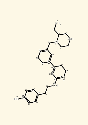 NCC1CNCCN1CC1=CCCC(C2=NC(NCCc3ccc(O)cc3)=NCC2)=C1